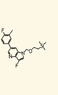 Cc1cc(-c2cnc3c(F)cn(COCC[Si](C)(C)C)c3c2)ccc1F